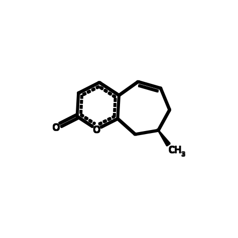 C[C@@H]1CC=Cc2ccc(=O)oc2C1